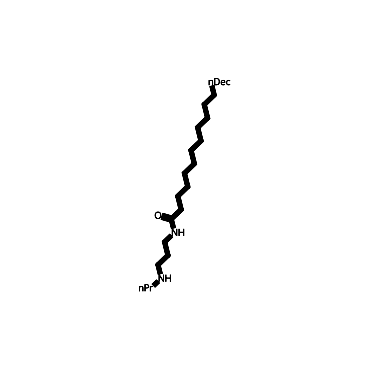 CCCCCCCCCCCCCCCCCCCCCC(=O)NCCCNCCC